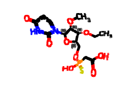 CCO[C@H]1[C@@H](OC)[C@H](n2ccc(=O)[nH]c2=O)O[C@@H]1COP(O)(=S)CC(=O)O